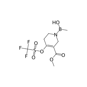 COC(=O)C1=C(OS(=O)(=O)C(F)(F)F)CCN(B(C)O)C1